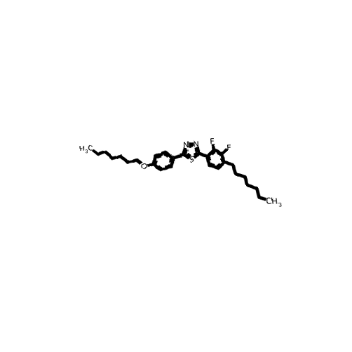 CCCCCCCOc1ccc(-c2nnc(-c3ccc(CCCCCCC)c(F)c3F)s2)cc1